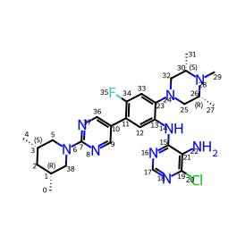 C[C@@H]1C[C@H](C)CN(c2ncc(-c3cc(Nc4ncnc(Cl)c4N)c(N4C[C@@H](C)N(C)[C@@H](C)C4)cc3F)cn2)C1